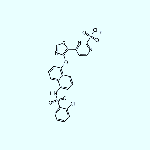 CS(=O)(=O)c1nccc(-c2scnc2Oc2cccc3c(NS(=O)(=O)c4ccccc4Cl)cccc23)n1